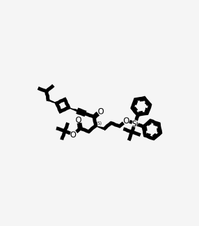 CC(C)C[C@H]1C[C@@H](C#CC(=O)[C@@H](CCCO[Si](c2ccccc2)(c2ccccc2)C(C)(C)C)CC(=O)OC(C)(C)C)C1